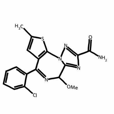 COC1N=C(c2ccccc2Cl)c2cc(C)sc2-n2nc(C(N)=O)nc21